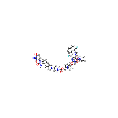 C#Cc1c(F)ccc2cccc(-c3ncc4c(N5CC6CCC(C5)N6C(=O)OC(C)(C)C)nc(OC[C@@]56CCCN5[C@H](COC(=O)N5CCC(N7CCC(Cc8cccc9c8n(C)c(=O)n9C8CCC(=O)NC8=O)CC7)CC5)CC6)nc4c3F)c12